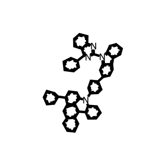 c1ccc(-c2ccc(N(c3ccc(-c4ccc5c6ccccc6n(-c6nc(-c7ccccc7)c7ccccc7n6)c5c4)cc3)c3ccccc3-c3cccc4ccccc34)cc2)cc1